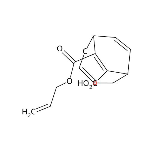 C=CCOC(=O)C1=C(C(=O)O)C2C=CC1CC=CC2